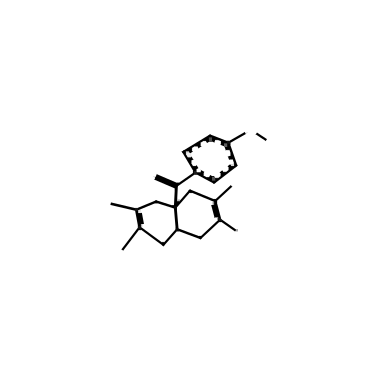 COc1ccc(C(=O)C23CC(C)=C(C)CC2CC(I)=C(C)C3)cc1